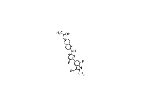 CC(O)CN1CCc2nc(Nc3ncc(F)c(-c4cc(F)c5nn(C)c(C(C)C)c5c4)n3)ccc2C1